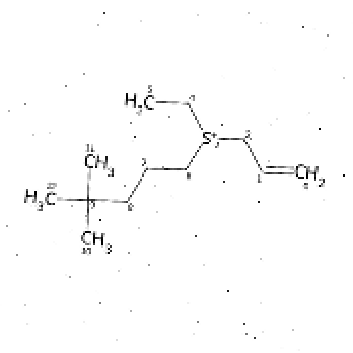 C=CC[S+](CC)CCCC(C)(C)C